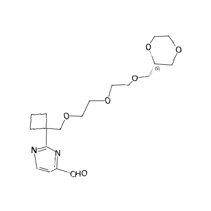 O=Cc1ccnc(C2(COCCOCCOC[C@H]3COCCO3)CCC2)n1